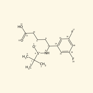 CC(C)(C)[S+]([O-])NC(CCCC(=O)O)c1cc(F)cc(F)c1